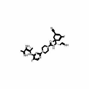 CC(=N)/C(N)=C(/C)Nc1nc(N2CCN(C(=O)N[C@@H](CC=N)C3(C)C=C(F)C=C(C#N)C3)CC2)ncc1F